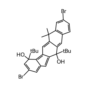 CC1(C)C2=CC3=C4C(=CC(Br)=CC4(O)C(C)(C)C)C=C3C(O)(C(C)(C)C)C2=Cc2ccc(Br)cc21